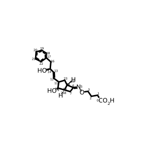 O=C(O)CCCON=C1C[C@H]2C(O)C(C=CC(O)Cc3ccccc3)C[C@H]12